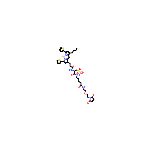 CCCCc1cc(-c2cccs2)n2c1C=C1C(CCC(=O)NC(CS(=O)(=O)O)C(=O)NCCCCC(=O)NCCOCCN3C(=O)C=CC3=O)=CC(c3cccs3)=[N+]1B2F